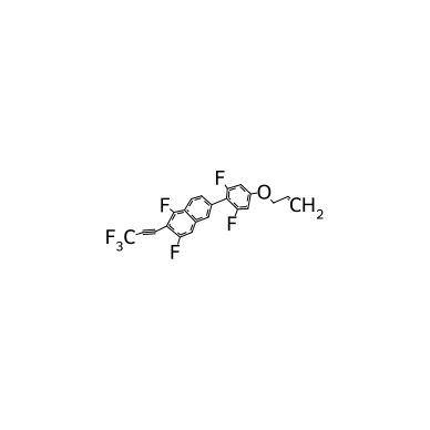 C=CCOc1cc(F)c(-c2ccc3c(F)c(C#CC(F)(F)F)c(F)cc3c2)c(F)c1